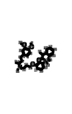 COc1ccc(CCC(C)N(C)CCCOc2cccc([N+]3(C)Sc4ccccc4C(C)C3=O)c2)cc1OC